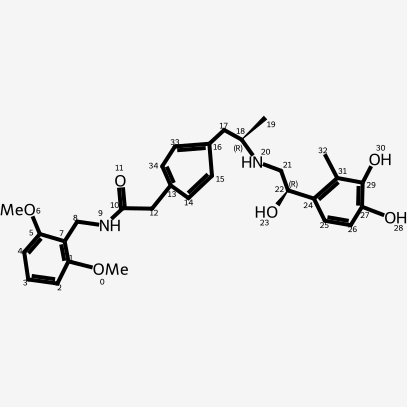 COc1cccc(OC)c1CNC(=O)Cc1ccc(C[C@@H](C)NC[C@H](O)c2ccc(O)c(O)c2C)cc1